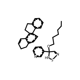 C1=Cc2c(ccc3c2CCc2ccccc2-3)CC1.CCCCCCOC1(c2cccnc2)C=NSN1